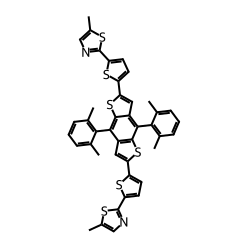 Cc1cnc(-c2ccc(-c3cc4c(-c5c(C)cccc5C)c5sc(-c6ccc(-c7ncc(C)s7)s6)cc5c(-c5c(C)cccc5C)c4s3)s2)s1